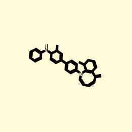 C=C1/C=C\C=C/N(c2ccc(C3=CC(C)C(Nc4ccccc4)C=C3)cc2)C2=C1C=CCC2C